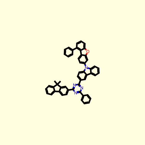 CC1(C)c2ccccc2-c2ccc(-c3nc(-c4ccccc4)nc(-c4ccc5c(c4)c4ccccc4n5-c4ccc5c(c4)oc4cccc(-c6ccccc6)c45)n3)cc21